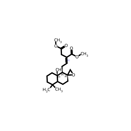 COC(=O)C/C(=C\C[C@H]1[C@]2(CCC3C(C)(C)CCC[C@@]31C)CO2)C(=O)OC